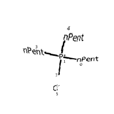 CCCCC[P+](C)(CCCCC)CCCCC.[Cl-]